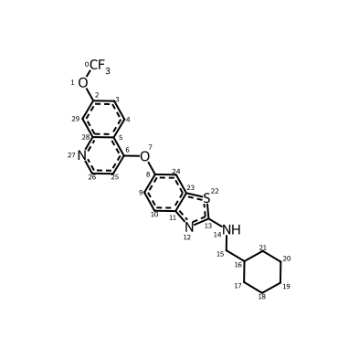 FC(F)(F)Oc1ccc2c(Oc3ccc4nc(NCC5CCCCC5)sc4c3)ccnc2c1